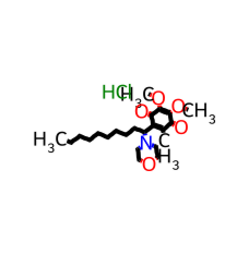 CCCCCCCCCC(C1=C(C)C(=O)C(OC)=C(OC)C1=O)N1CCOCC1.Cl